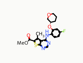 COC(=O)c1sc2ncnc(Nc3ccc(F)cc3O[C@H]3CCCOC3)c2c1C